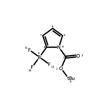 CC(C)(C)OC(=O)n1cccc1[B-](F)(F)F